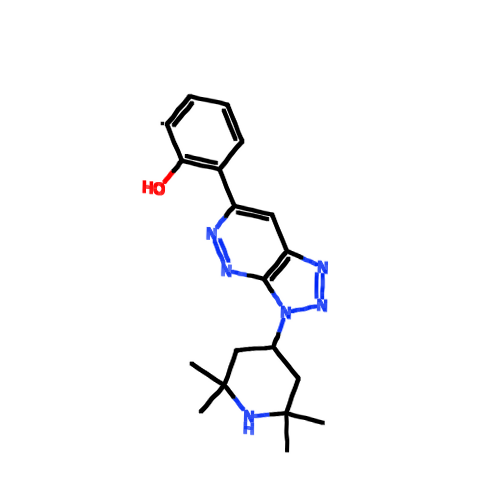 CC1(C)CC(n2nnc3cc(-c4ccc[c]c4O)nnc32)CC(C)(C)N1